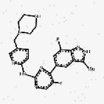 CCC(C)c1[nH]nc2c(F)cc(-c3nc(Nc4ccc(CN5CCNCC5)cn4)ncc3F)cc12